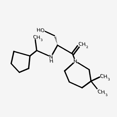 C=C([C@@H](CO)NC(C)C1CCCC1)N1CCCC(C)(C)C1